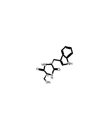 O=C1N[C@@H](Cc2c[nH]c3ccccc23)C(=O)N[C@H]1CO